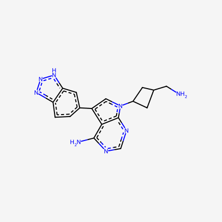 NCC1CC(n2cc(-c3ccc4nn[nH]c4c3)c3c(N)ncnc32)C1